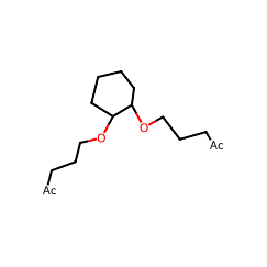 CC(=O)CCCOC1CCCCC1OCCCC(C)=O